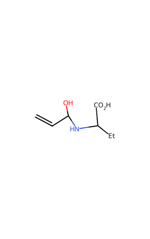 C=CC(O)NC(CC)C(=O)O